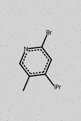 Cc1cnc(Br)cc1C(C)C